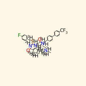 [2H]C([2H])(Sc1nc(=O)c2c(n1C([2H])([2H])C(=O)N(CCN(C([2H])([2H])C)C([2H])([2H])C)C([2H])([2H])c1ccc(-c3ccc(C(F)(F)F)cc3)cc1)C([2H])([2H])C([2H])(C)C2([2H])[2H])c1ccc(F)cc1